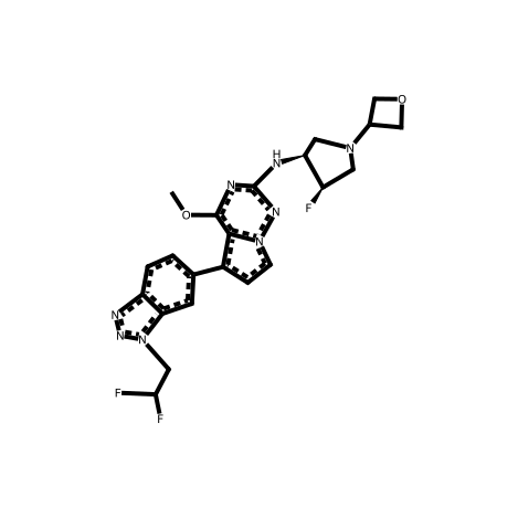 COc1nc(N[C@H]2CN(C3COC3)C[C@H]2F)nn2ccc(-c3ccc4nnn(CC(F)F)c4c3)c12